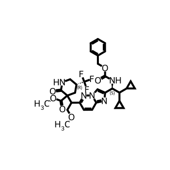 COCC(c1ccc2nc([C@@H](NC(=O)OCc3ccccc3)C(C3CC3)C3CC3)cn2n1)C1(C(=O)OC)C[C@@H](C(F)(F)F)CNC1=O